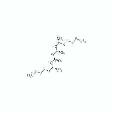 CCCCCC(C)OC(=O)CC(=O)OC(C)CCCCC